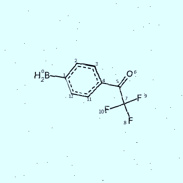 Bc1ccc(C(=O)C(F)(F)F)cc1